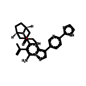 C=C(C)c1c(C2C[C@H]3CC[C@@H](C2)N3C(=O)CO)nc2c(-c3ccc(-c4ncc[nH]4)nc3)cnn2c1N